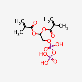 C=C(C)C(=O)OC(COP(=O)(O)OP(=O)(O)O)OC(=O)C(=C)C